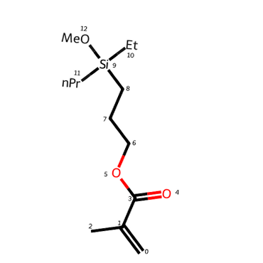 C=C(C)C(=O)OCCC[Si](CC)(CCC)OC